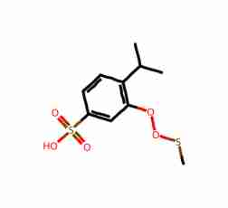 CSOOc1cc(S(=O)(=O)O)ccc1C(C)C